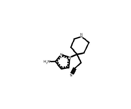 N#CCC1(n2ccc(N)n2)CCNCC1